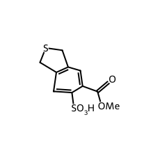 COC(=O)c1cc2c(cc1S(=O)(=O)O)CSC2